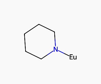 [Eu][N]1CCCCC1